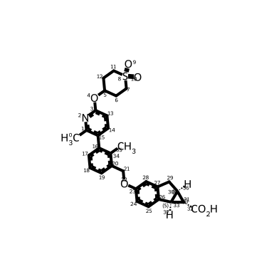 Cc1nc(OC2CCS(=O)(=O)CC2)ccc1-c1cccc(COc2ccc3c(c2)C[C@H]2[C@H](C(=O)O)[C@@H]32)c1C